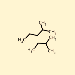 CCC(C)C.CCCC(C)C